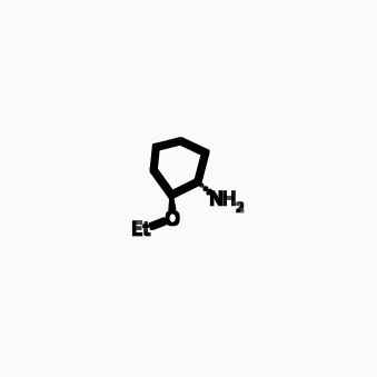 CCO[C@H]1CCCC[C@@H]1N